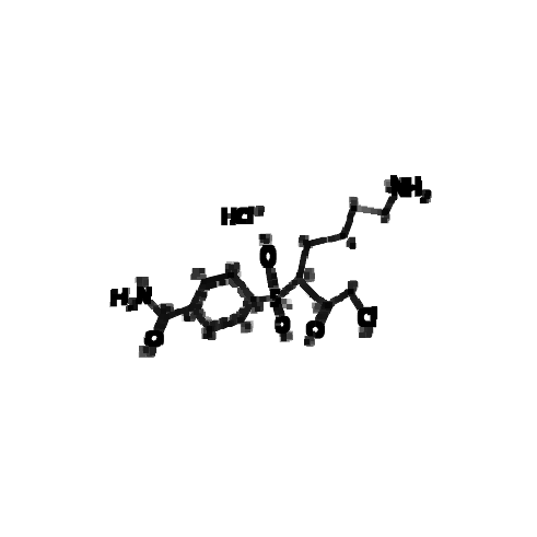 Cl.NCCCCC(C(=O)CCl)S(=O)(=O)c1ccc(C(N)=O)cc1